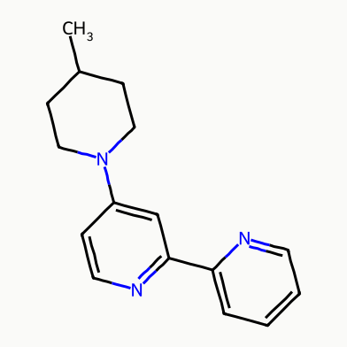 CC1CCN(c2ccnc(-c3ccccn3)c2)CC1